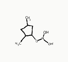 CC1CC(C)C(ON(O)O)C1